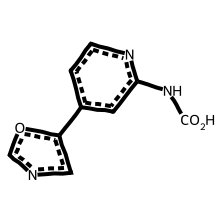 O=C(O)Nc1cc(-c2cnco2)ccn1